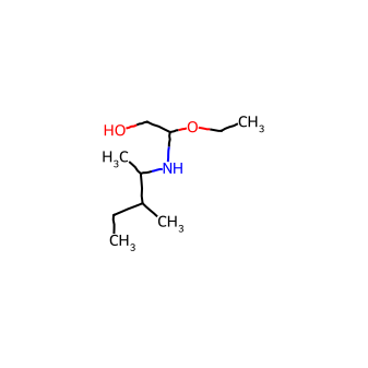 CCOC(CO)NC(C)C(C)CC